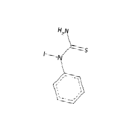 NC(=S)N(I)c1ccccc1